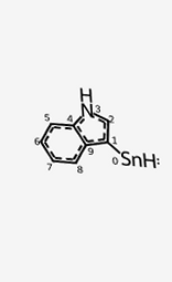 [SnH][c]1c[nH]c2ccccc12